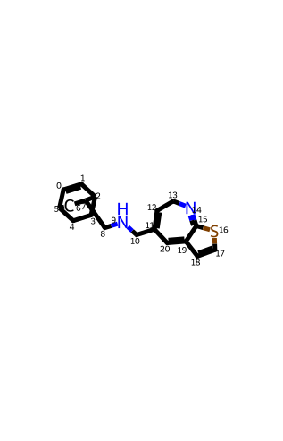 C1=CC2CCC1CC2CNCC1=CCN=c2sccc2=C1